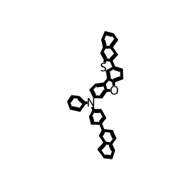 c1ccc(N(c2ccc(-c3ccc4ccccc4c3)cc2)c2ccc3c(c2)oc2ccc4c5cc6ccccc6cc5sc4c23)cc1